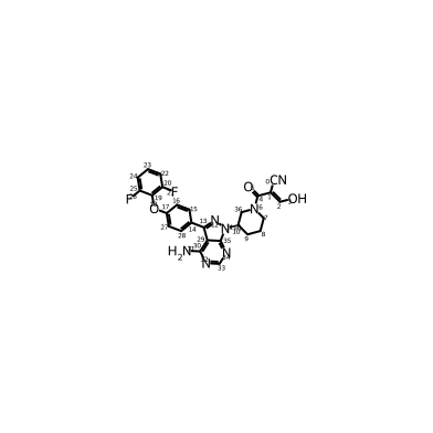 N#CC(=CO)C(=O)N1CCC[C@@H](n2nc(-c3ccc(Oc4c(F)cccc4F)cc3)c3c(N)ncnc32)C1